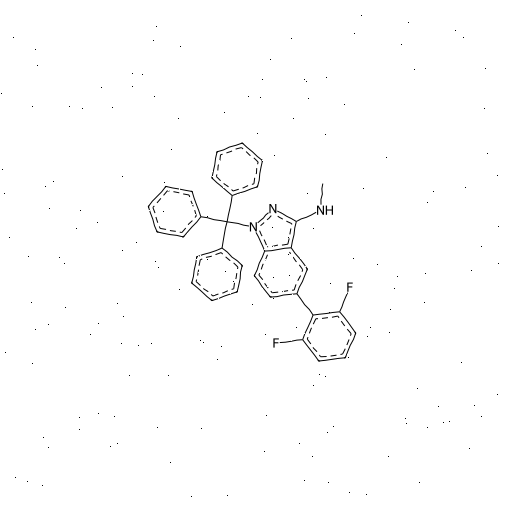 CNc1nn(C(c2ccccc2)(c2ccccc2)c2ccccc2)c2ccc(-c3c(F)cccc3F)cc12